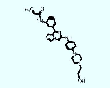 C=CC(=O)Nc1cccc(-c2nc(Nc3ccc(N4CCN(CCO)CC4)cc3)cn3cncc23)c1